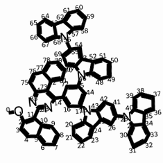 COc1ccc2ccccc2c1-c1nc(-c2cc(-n3c4ccccc4c4cc(-n5c6ccccc6c6ccccc65)ccc43)cc(-n3c4ccccc4c4cc(-n5c6ccccc6c6ccccc65)ccc43)c2)c2c(ccc3ccccc32)n1